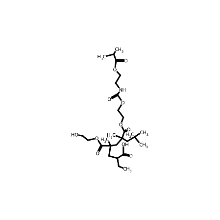 CCC(CC(C)(CC(C)(CC(C)(C)C)C(=O)OCCOC(=O)NCCOC(=O)C(C)C)C(=O)OCCO)C(=O)O